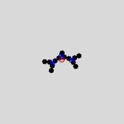 c1ccc(-c2ccc3c(c2)c2cc(-c4ccccc4)ccc2n3-c2ccc(-c3ccc4c(c3)Oc3cc(-c5ccc(-n6c7ccc(-c8ccccc8)cc7c7cc(-c8ccccc8)ccc76)cc5)cc5c6ccccc6n-4c35)cc2)cc1